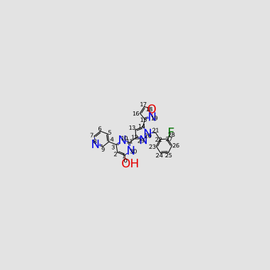 Oc1cc(-c2cccnc2)nc(-c2cc(-c3ccon3)n(Cc3ccccc3F)n2)n1